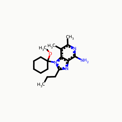 CCCc1nc2c(N)nc(C)c(C)c2n1C1(OC)CCCCC1